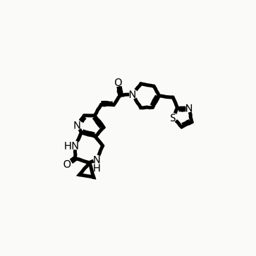 O=C(C=Cc1cnc2c(c1)CNC1(CC1)C(=O)N2)N1CC=C(Cc2nccs2)CC1